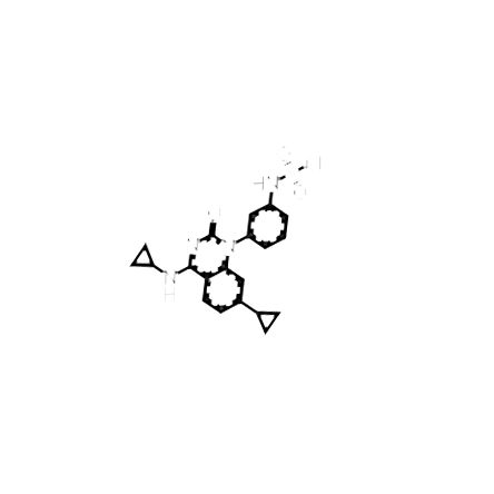 CS(=O)(=O)Nc1cccc(-n2c(=O)nc(NC3CC3)c3ccc(C4CC4)cc32)c1